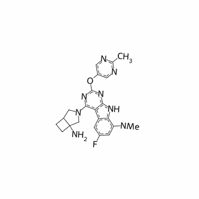 CNc1cc(F)cc2c1[nH]c1nc(Oc3cnc(C)nc3)nc(N3CC4CCC4(N)C3)c12